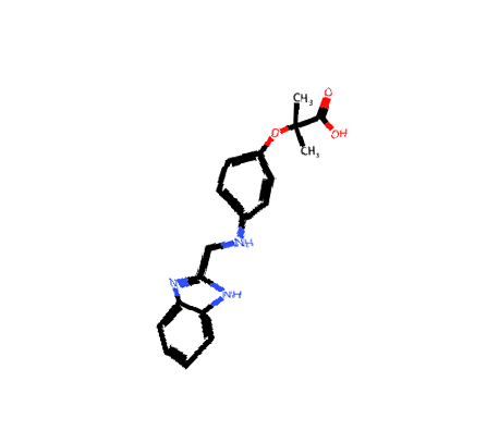 CC(C)(Oc1ccc(NCc2nc3ccccc3[nH]2)cc1)C(=O)O